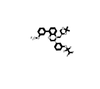 CC1(C)OC[C@H](CN2c3cccc(-c4cccc(OC(F)(F)F)c4)c3OC[C@H]2c2cccc(OC(F)(F)C(F)F)c2)O1